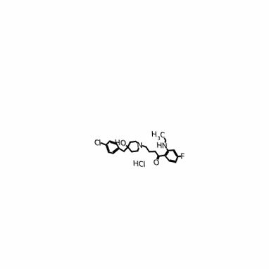 CCNc1cc(F)ccc1C(=O)CCCN1CCC(O)(Cc2ccc(Cl)cc2)CC1.Cl